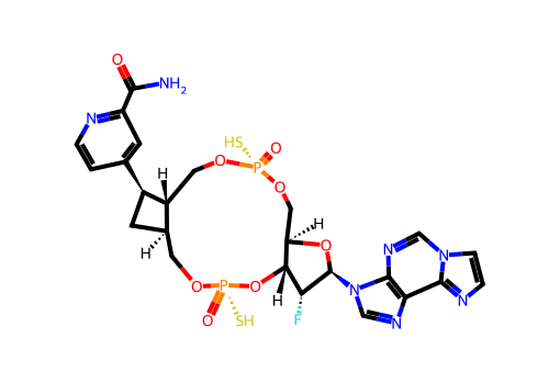 NC(=O)c1cc([C@@H]2C[C@@H]3CO[P@@](=O)(S)O[C@H]4[C@@H](F)[C@H](n5cnc6c5ncn5ccnc65)O[C@@H]4CO[P@@](=O)(S)OC[C@H]32)ccn1